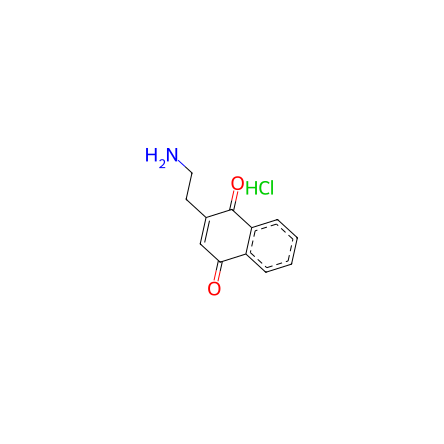 Cl.NCCC1=CC(=O)c2ccccc2C1=O